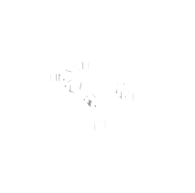 Cc1c[nH]c2ncc(-c3cc(C4CCN(C)C(=O)C4)n(C4CC(F)(F)C4)n3)cc12